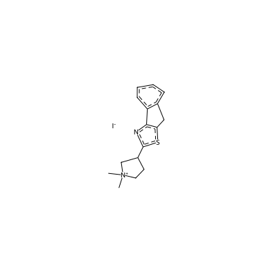 C[N+]1(C)CCC(c2nc3c(s2)Cc2ccccc2-3)C1.[I-]